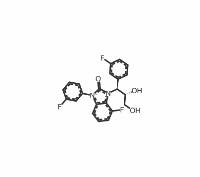 O=c1n(-c2cccc(F)c2)c2cccc(F)c2n1[C@@H](c1cccc(F)c1)[C@H](O)CO